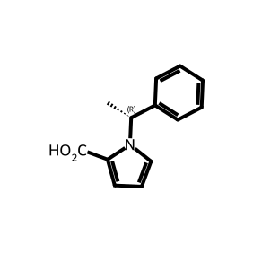 C[C@H](c1ccccc1)n1cccc1C(=O)O